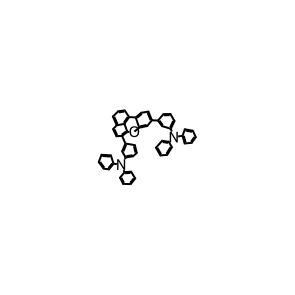 c1ccc(N(c2ccccc2)c2cccc(-c3ccc4c(c3)Oc3c(-c5cccc(N(c6ccccc6)c6ccccc6)c5)ccc5cccc-4c35)c2)cc1